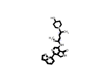 C=N/C(=C\C=C(/C)N1CCC(O)CC1)Nc1cnc(-c2cccc3ccnn23)c2c1C(=O)NC2